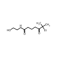 CCC(C)(C)C(=O)CCCC(=O)NCCO